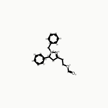 O=COCCC1=NN(Cc2ccccc2)C(c2ccccc2)C1